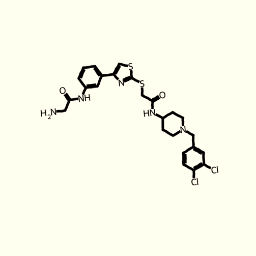 NCC(=O)Nc1cccc(-c2csc(SCC(=O)NC3CCN(Cc4ccc(Cl)c(Cl)c4)CC3)n2)c1